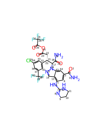 NC(=O)c1cc(NC2=NCCCN2)c2cnn(C(C(N)=O)[C@@H](CC(=O)OC(=O)C(F)(F)F)c3cc(Cl)cc(C(F)(F)F)c3)c2c1